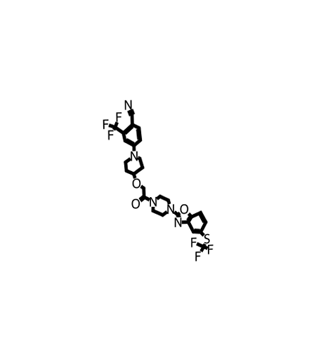 N#Cc1ccc(N2CCC(OCC(=O)N3CCN(c4nc5cc(SC(F)(F)F)ccc5o4)CC3)CC2)cc1C(F)(F)F